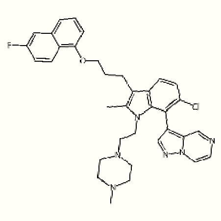 Cc1c(CCCOc2cccc3cc(F)ccc23)c2ccc(Cl)c(-c3cnn4ccncc34)c2n1CCN1CCN(C)CC1